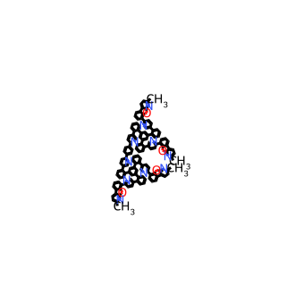 Cc1ccc2c(n1)oc1c(-c3ccc(-c4ccccc4-c4cc(-c5ccccc5-c5ccc(-c6ccc(-c7ccc(-c8ccccc8-c8cc(-c9ccccc9-c9ccc(-c%10cccc%11c%10oc%10nc(C)ccc%10%11)nc9)cc(-c9ccccc9-c9ccc(-c%10cccc%11c%10oc%10nc(C)ccc%10%11)nc9)c8)cn7)cc6)nc5)cc(-c5ccccc5-c5ccc(-c6cccc7c6oc6nc(C)ccc67)nc5)c4)cn3)cccc12